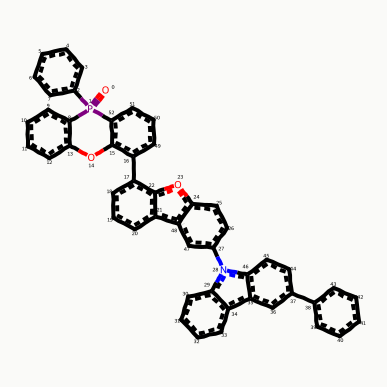 O=P1(c2ccccc2)c2ccccc2Oc2c(-c3cccc4c3oc3ccc(-n5c6ccccc6c6cc(-c7ccccc7)ccc65)cc34)cccc21